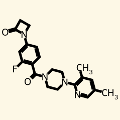 Cc1cnc(N2CCN(C(=O)c3ccc(N4CCC4=O)cc3F)CC2)c(C)c1